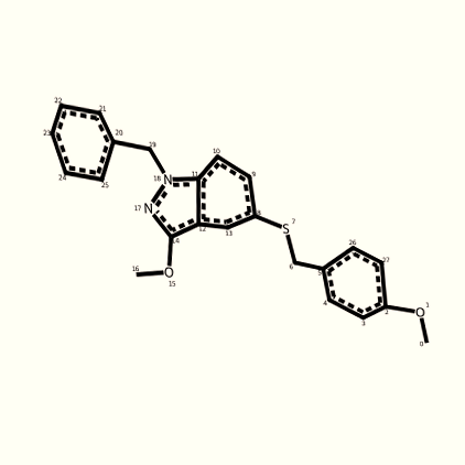 COc1ccc(CSc2ccc3c(c2)c(OC)nn3Cc2ccccc2)cc1